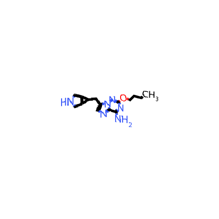 CCCCOc1nc(N)c2ncc(CC3C4CNCC43)n2n1